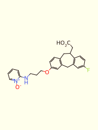 O=C(O)CC1Cc2ccc(OCCCNc3cccc[n+]3[O-])cc2Cc2cc(F)ccc21